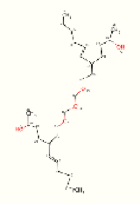 CCCCC=CC(CCOCOCOCCC(C=CCCCC)CCC(C)O)CCC(C)O